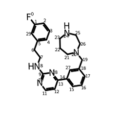 Fc1cccc(CCNc2nccc(-c3cccc(CN4CCCNCC4)c3)n2)c1